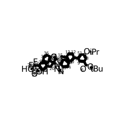 CC(C)Oc1cc(C(=O)OC(C)(C)C)cc(-c2ccc(COC(=O)C(Cc3ccc(C(F)(F)P(=O)(O)O)cc3)(c3ccccc3)n3nnc4ccccc43)cc2)c1